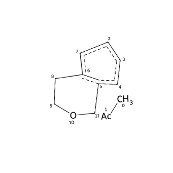 CC(C)=O.c1ccc2c(c1)CCOC2